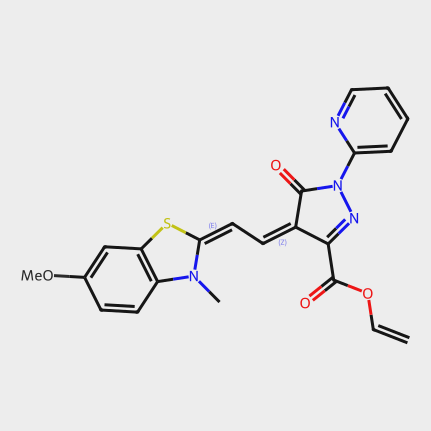 C=COC(=O)C1=NN(c2ccccn2)C(=O)/C1=C\C=C1\Sc2cc(OC)ccc2N1C